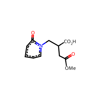 COC(=O)CC(Cn1ccccc1=O)C(=O)O